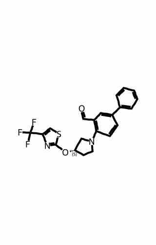 O=Cc1cc(-c2ccccc2)ccc1N1CC[C@H](Oc2nc(C(F)(F)F)cs2)C1